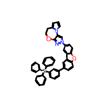 c1ccc([Si](c2ccccc2)(c2ccccc2)c2cccc(-c3ccc4oc5ccc(-n6cc7c(n6)OCCc6cccn6-7)cc5c4c3)c2)cc1